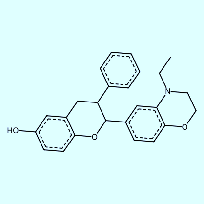 CCN1CCOc2ccc(C3Oc4ccc(O)cc4CC3c3ccccc3)cc21